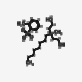 CCCCCCCC[N+](C)(CCO)CCO.Cc1ccccc1S(=O)(=O)[O-]